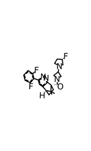 CC1(C)[C@H]2CC[C@]1(C(=O)N1CC(N3CC[C@H](F)C3)C1)c1nnc(-c3c(F)cccc3F)cc12